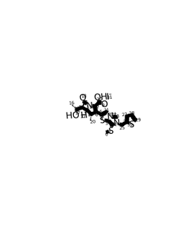 CSc1c2sc(C3=C(C(=O)O)N4C(=O)[C@H]([C@@H](C)O)[C@H]4[C@H]3C)c[n+]2cn1Cc1cccs1.[I-]